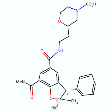 CNC(=O)c1cc(C(=O)NCCC2CN(C(=O)O)CCO2)cc2c1O[C@@](C)(C(C)(C)C)[C@H]2c1ccccc1